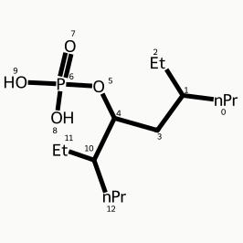 CCCC(CC)CC(OP(=O)(O)O)C(CC)CCC